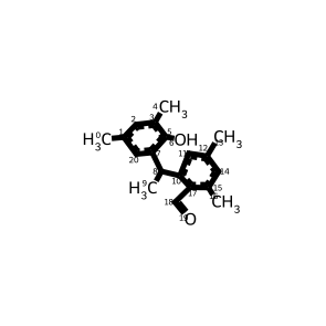 Cc1cc(C)c(O)c(C(C)c2cc(C)cc(C)c2C=O)c1